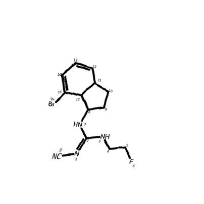 N#C/N=C(/NCCF)NC1CCC2C=CC=C(Br)C21